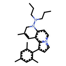 CCCN(CCC)N1CC(C)=Cc2c1ccn1ccc(-c3c(C)cc(C)cc3C)c21